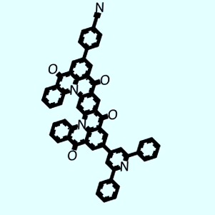 N#Cc1ccc(-c2cc3c(=O)c4ccccc4n4c5cc6c(cc5c(=O)c(c2)c34)c(=O)c2cc(-c3cc(-c4ccccc4)nc(-c4ccccc4)c3)cc3c(=O)c4ccccc4n6c32)cc1